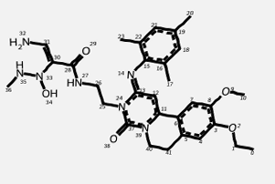 CCOc1cc2c(cc1OC)-c1c/c(=N\c3c(C)cc(C)cc3C)n(CCNC(=O)/C(=C/N)N(O)NC)c(=O)n1CC2